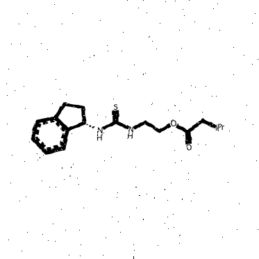 CC(C)CC(=O)OCCNC(=S)N[C@H]1CCc2ccccc21